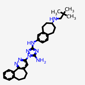 CC(C)(C)CN[C@H]1CCc2ccc(Nc3nc(N)n(-c4cc5c(nn4)-c4ccccc4CCC5)n3)cc2CC1